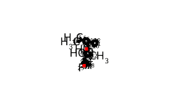 CCC(C)c1ccc(-c2ccccc2)c(CNC[C@@H](O)[C@H](Cc2cc(F)cc(F)c2)NC(C)=O)c1